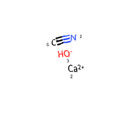 [C-]#N.[Ca+2].[OH-]